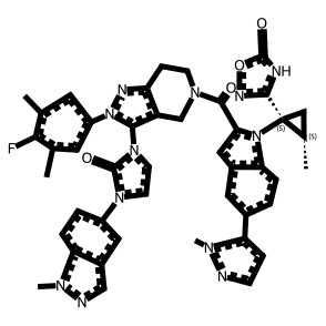 Cc1cc(-n2nc3c(c2-n2ccn(-c4ccc5c(cnn5C)c4)c2=O)CN(C(=O)c2cc4cc(-c5ccnn5C)ccc4n2[C@@]2(c4noc(=O)[nH]4)C[C@@H]2C)CC3)cc(C)c1F